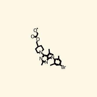 COCC(=O)OCC1CCN(c2nc(C)nc3c2c(C)cn3-c2c(C)cc(Br)cc2C)CC1